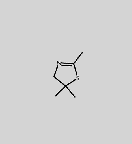 CC1=NCC(C)(C)S1